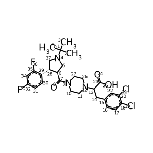 CC(C)(C)N1C[C@@H](C(=O)N2CCN(C(Cc3ccc(Cl)c(Cl)c3)C(=O)O)CC2)[C@H](c2ccc(F)cc2F)C1